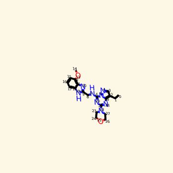 CCc1cnn2c(NCc3nc4c(OC)cccc4[nH]3)nc(N3CCOCC3)nc12